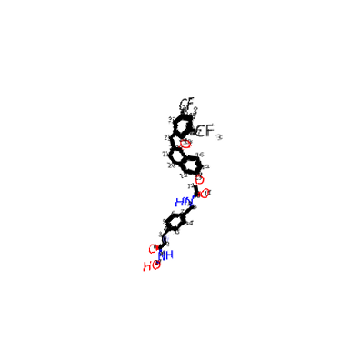 O=C(/C=C/c1ccc(CNC(=O)COc2ccc3c(c2)CCC(=Cc2cc(C(F)(F)F)cc(C(F)(F)F)c2)C3=O)cc1)NO